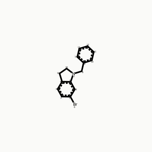 Brc1ccc2c(c1)N(Cc1ccccc1)CC2